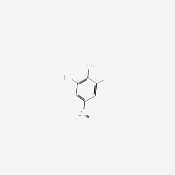 O=[N+]([O-])c1cc(O)c(O)c(Br)c1